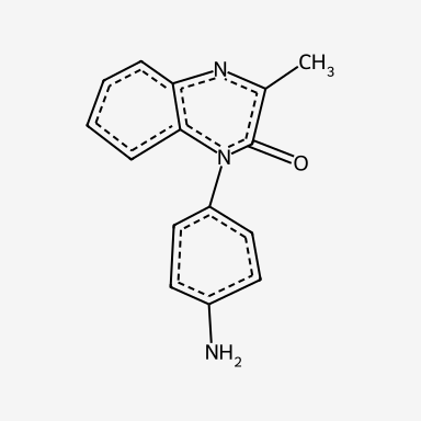 Cc1nc2ccccc2n(-c2ccc(N)cc2)c1=O